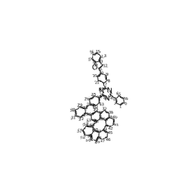 c1ccc(-c2nc(-c3ccc(-c4cc5ccccc5o4)cc3)nc(-c3ccc(-c4ccccc4-c4cc5ccc6cccc7c8cccc9ccc%10cccc(c(c4)c5c67)c%10c98)cc3)n2)cc1